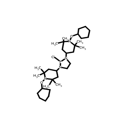 CC1(C)CC(N2CCN(C3CC(C)(C)N(OC4CCCCC4)C(C)(C)C3)P2Cl)CC(C)(C)N1OC1CCCCC1